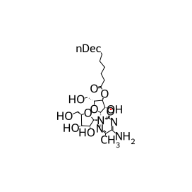 CCCCCCCCCCCCCCCC(=O)O[C@H]1[C@H](O)[C@H]([N+]2([C@@H]3O[C@H](CO)[C@@H](O)[C@H]3O)N=C(C)C(N)=NC2=O)O[C@@H]1CO